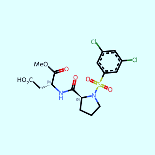 COC(=O)[C@@H](CC(=O)O)NC(=O)[C@@H]1CCCN1S(=O)(=O)c1cc(Cl)cc(Cl)c1